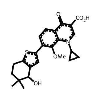 COc1c(-c2cc3c(s2)CCC(C)(C)C3O)ccc2c(=O)c(C(=O)O)cn(C3CC3)c12